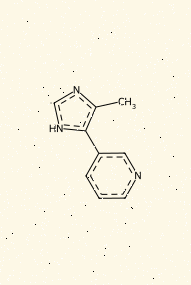 Cc1n[c][nH]c1-c1cccnc1